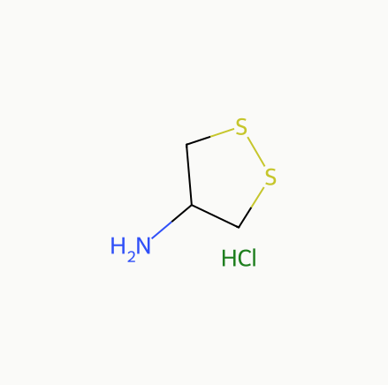 Cl.NC1CSSC1